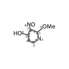 COc1nccc(O)c1N=O